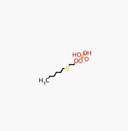 CCCCCCSCCOOP(=O)(O)O